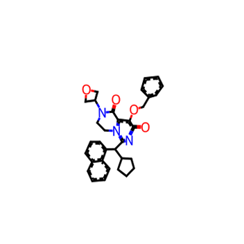 O=C1c2c(OCc3ccccc3)c(=O)nc(C(c3cccc4ccccc34)C3CCCC3)n2CCN1C1COC1